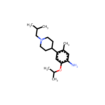 C[C](C)CN1CCC(c2cc(OC(C)C)c(N)cc2C)CC1